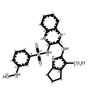 CCOC(=O)c1c(Nc2nc3ccccc3nc2NS(=O)(=O)c2cccc(NO)c2)sc2c1CCC2